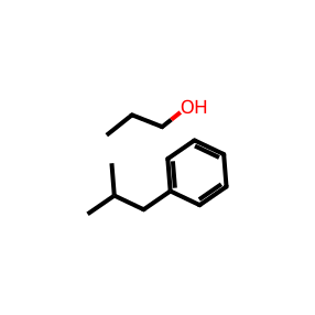 CC(C)Cc1ccccc1.CCCO